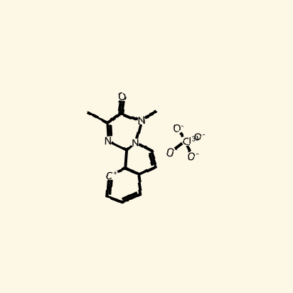 CC1=NC2C3[C+]=CC=CC3C=CN2N(C)C1=O.[O-][Cl+3]([O-])([O-])[O-]